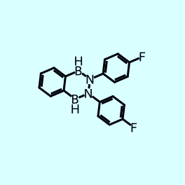 Fc1ccc(N2Bc3ccccc3BN2c2ccc(F)cc2)cc1